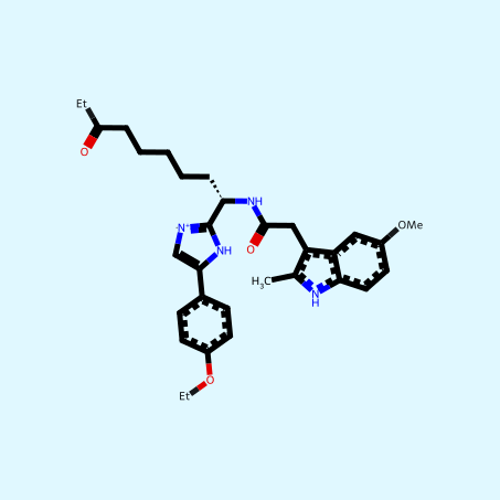 CCOc1ccc(C2=C[N+]=C([C@H](CCCCCC(=O)CC)NC(=O)Cc3c(C)[nH]c4ccc(OC)cc34)N2)cc1